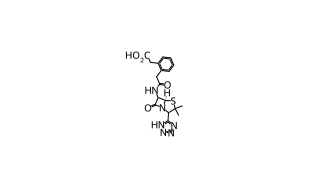 CC1(C)S[C@@H]2C(NC(=O)Cc3ccccc3CC(=O)O)C(=O)N2C1c1nnn[nH]1